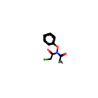 CC(=O)N(Oc1ccccc1)C(=O)CBr